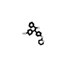 CC/C(=C(/c1ccc(O)cc1)c1ccc(OC2CCCCO2)cc1)c1ccccc1